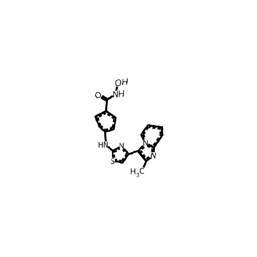 Cc1nc2ccccn2c1-c1csc(Nc2ccc(C(=O)NO)cc2)n1